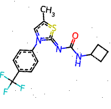 Cc1cn(-c2ccc(C(F)(F)F)cc2)c(=NC(=O)NC2CCC2)s1